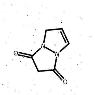 O=C1CC(=O)N2CC=CN12